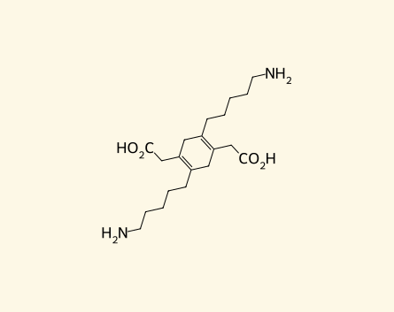 NCCCCCC1=C(CC(=O)O)CC(CCCCCN)=C(CC(=O)O)C1